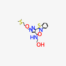 CS(C)(C)CCOCn1cc(C(=O)NCCO)c(-c2nc3ccccc3s2)n1